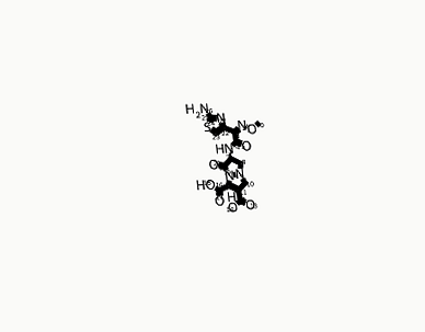 CO/N=C(\C(=O)N[C@H]1CN2CC(C(=O)O)=C(C(=O)O)N2C1=O)c1csc(N)n1